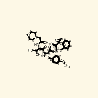 C=C(CN1CCOCC1)N[C@H](C(=O)N[C@@H](Cc1ccc(OC)cc1)C(=O)N[C@@H](Cc1ccccc1)C(=O)[C@@]1(C)CO1)[C@H](C)O